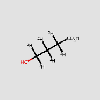 [2H]C([2H])(O)C([2H])([2H])C([2H])([2H])C(=O)O